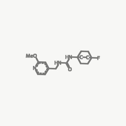 COc1cc(CNC(=O)NC23CCC(F)(CC2)CC3)ccn1